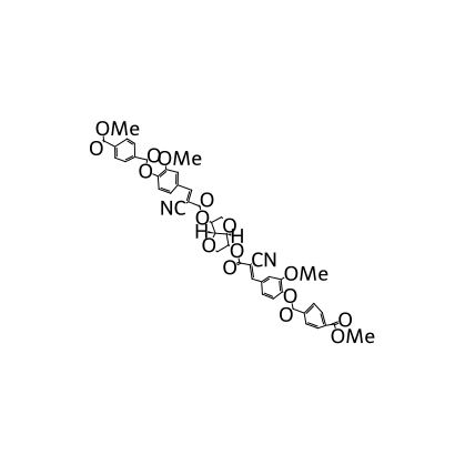 COC(=O)c1ccc(C(=O)Oc2ccc(/C=C(\C#N)C(=O)O[C@H]3CO[C@H]4[C@@H]3OC[C@H]4OC(=O)/C(C#N)=C/c3ccc(OC(=O)c4ccc(C(=O)OC)cc4)c(OC)c3)cc2OC)cc1